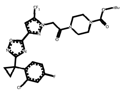 CC(C)(C)OC(=O)N1CCN(C(=O)Cn2nc(-c3nc(C4(c5ccc(F)cc5Cl)CC4)no3)cc2C(F)(F)F)CC1